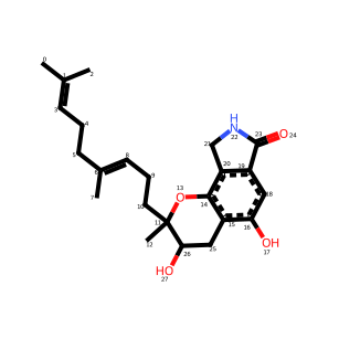 CC(C)=CCC/C(C)=C/CCC1(C)Oc2c(c(O)cc3c2CNC3=O)CC1O